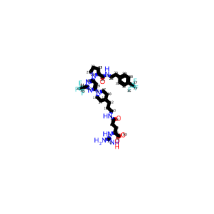 N=C(N)NC(CCC(=O)NCCCC1CCN(c2cc(N3CCCC3C(=O)NCCc3ccc(C(F)(F)F)cc3)nc(C(F)(F)F)n2)CC1)C(=O)O